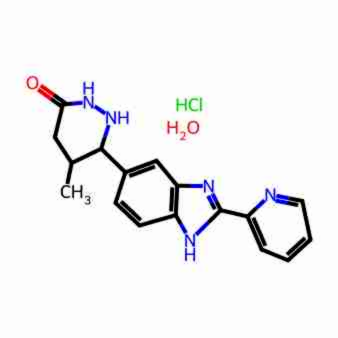 CC1CC(=O)NNC1c1ccc2[nH]c(-c3ccccn3)nc2c1.Cl.O